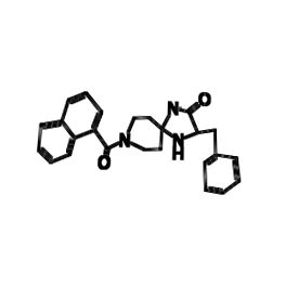 O=C1[N]C2(CCN(C(=O)c3cccc4ccccc34)CC2)NC1Cc1ccccc1